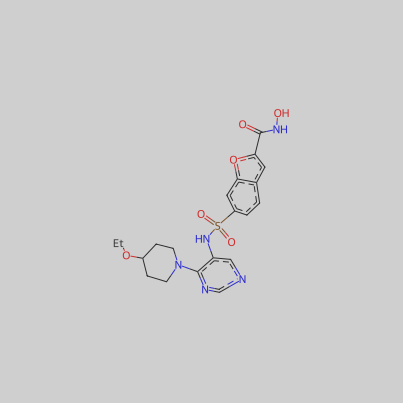 CCOC1CCN(c2ncncc2NS(=O)(=O)c2ccc3cc(C(=O)NO)oc3c2)CC1